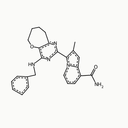 Cc1cc2c(C(N)=O)cccn2c1-c1nc2c(c(NCc3ccccc3)n1)OCCCC2